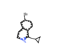 CC(C)(C)c1ccc2c(C3CC3)nccc2c1